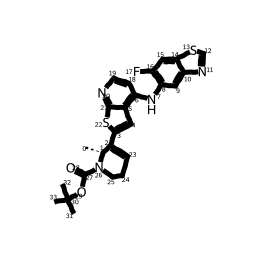 C[C@@H]1C(c2cc3c(Nc4cc5ncsc5cc4F)ccnc3s2)=CCCN1C(=O)OC(C)(C)C